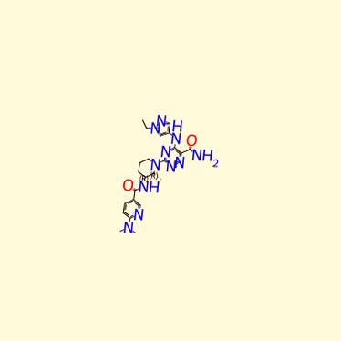 CCn1cc(Nc2nc(N3CCC[C@@H](NC(=O)c4ccc(N(C)C)nc4)[C@H]3C)nnc2C(N)=O)cn1